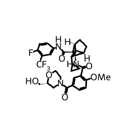 COc1ccc(C(=O)N2CCO[C@@H](CO)C2)cc1C(=O)N[C@H]1[C@@H](C(=O)Nc2ccc(F)c(C(F)(F)F)c2)[C@H]2CC[C@@H]1/C2=C\C1CC1